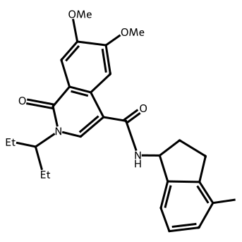 CCC(CC)n1cc(C(=O)NC2CCc3c(C)cccc32)c2cc(OC)c(OC)cc2c1=O